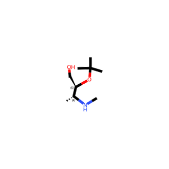 CN[C@H](C)[C@@H](CO)OC(C)(C)C